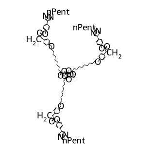 C=C(C(=O)Oc1ccc(-c2cnc(CCCCC)nc2)cc1)c1ccc(OCCCCCCCCCC(=O)OC(CC)(OC(=O)CCCCCCCCCOc2ccc(C(=C)C(=O)Oc3ccc(-c4cnc(CCCCC)nc4)cc3)cc2)OC(=O)CCCCCCCCCOc2ccc(C(=C)C(=O)Oc3ccc(-c4cnc(CCCCC)nc4)cc3)cc2)cc1